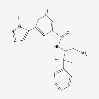 Cn1nccc1C1=CC(C(=O)NC(CN)C(C)(C)c2ccccc2)=CC(=S)C1